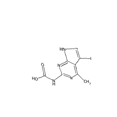 Cc1nc(NC(=O)O)nc2[nH]cc(I)c12